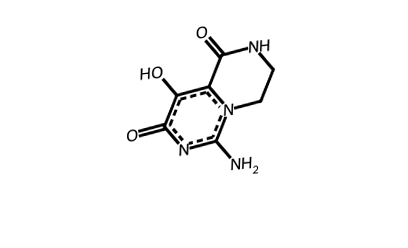 Nc1nc(=O)c(O)c2n1CCNC2=O